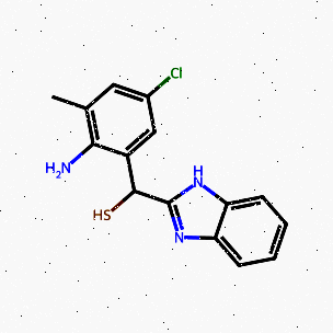 Cc1cc(Cl)cc(C(S)c2nc3ccccc3[nH]2)c1N